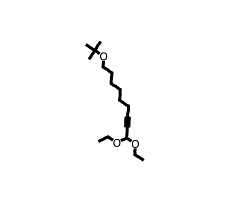 CCOC(C#CCCCCCCOC(C)(C)C)OCC